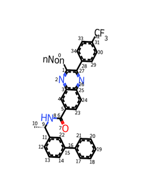 CCCCCCCCCc1nc2cc(C(=O)N[C@@H](C)c3cccc(-c4ccccc4)c3)ccc2nc1-c1ccc(C(F)(F)F)cc1